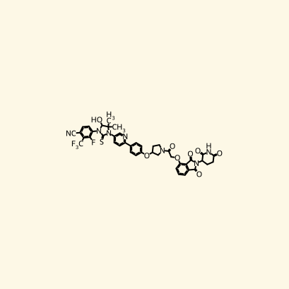 CC1(C)C(O)N(c2ccc(C#N)c(C(F)(F)F)c2F)C(=S)N1c1ccc(-c2ccc(OC3CCN(C(=O)COc4cccc5c4C(=O)N(C4CCC(=O)NC4=O)C5=O)C3)cc2)nc1